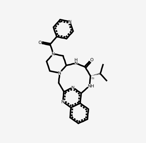 CC(C)[C@@H]1Nc2nc(nc3ccccc23)CN2CCN(C(=O)c3ccncc3)CC2NC1=O